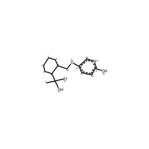 CCC(C)(O)C1CCCCC1COc1ccc(O)nc1